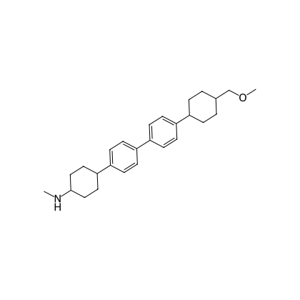 CNC1CCC(c2ccc(-c3ccc(C4CCC(COC)CC4)cc3)cc2)CC1